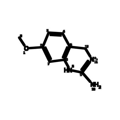 COc1ccc2c(c1)NC(N)=[N+]C2